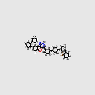 c1ccc(-c2ccccc2-c2ccc3oc4c(-c5cccc(-c6ccc(-c7cccc8c7sc7ccccc78)cc6)c5)ncnc4c3c2)cc1